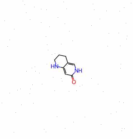 O=c1cc2c(c[nH]1)CCCN2